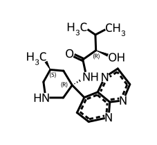 CC(C)[C@@H](O)C(=O)N[C@]1(c2ccnc3nccnc23)CNC[C@@H](C)C1